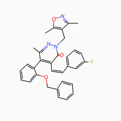 Cc1noc(C)c1Cn1nc(C)c(-c2ccccc2OCc2ccccc2)c(C=Cc2cccc(F)c2)c1=O